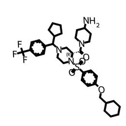 NC1CCN(C(=O)[C@H]2CN(C(c3ccc(C(F)(F)F)cc3)C3CCCC3)CCN2S(=O)(=O)c2ccc(OCC3CCCCC3)cc2)CC1